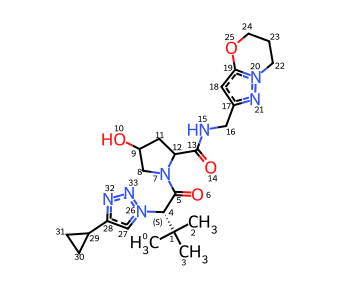 CC(C)(C)[C@@H](C(=O)N1CC(O)CC1C(=O)NCc1cc2n(n1)CCCO2)n1cc(C2CC2)nn1